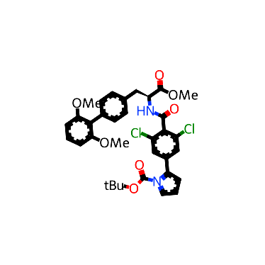 COC(=O)[C@H](Cc1ccc(-c2c(OC)cccc2OC)cc1)NC(=O)c1c(Cl)cc(-c2cccn2C(=O)OC(C)(C)C)cc1Cl